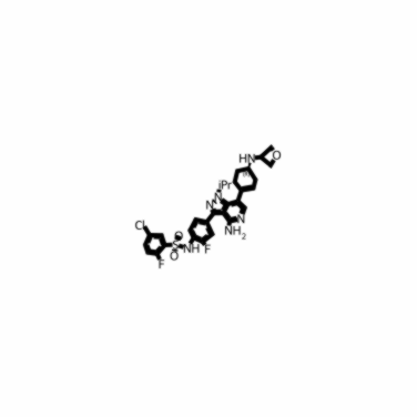 CC(C)n1nc(-c2ccc(NS(=O)(=O)c3cc(Cl)ccc3F)c(F)c2)c2c(N)ncc(C3=CC[C@H](NC4COC4)CC3)c21